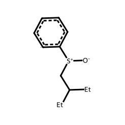 CCC(CC)C[S+]([O-])c1[c]cccc1